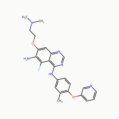 Cc1cc(Nc2ncnc3cc(OCCN(C)C)c(N)c(F)c23)ccc1Oc1cccnc1